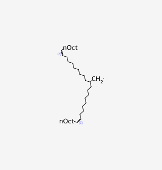 [CH2]C(CCCCCCCC/C=C\CCCCCCCC)CCCCCCCC/C=C\CCCCCCCC